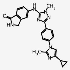 Cc1nc(C2CC2)cn1-c1ccc(-c2nc(Nc3ccc4c(c3)CNC4=O)n(C)n2)cc1